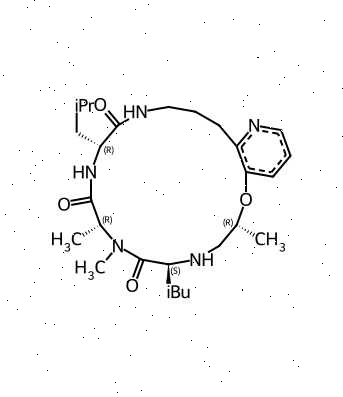 CCC(C)[C@@H]1NC[C@@H](C)Oc2cccnc2CCCNC(=O)[C@@H](CC(C)C)NC(=O)[C@@H](C)N(C)C1=O